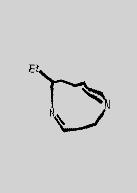 CCC1C=NCC=N1